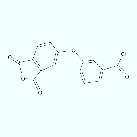 O=C(Cl)c1cccc(Oc2ccc3c(c2)C(=O)OC3=O)c1